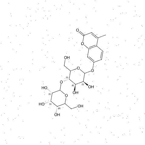 Cc1cc(=O)oc2cc(OC3OC(CO)[C@@H](OC4OC(CO)[C@H](O)[C@H](O)[C@@H]4O)[C@H](O)[C@@H]3O)ccc12